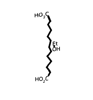 CCO.O=C(O)CCCCCCCCCCCC(=O)O